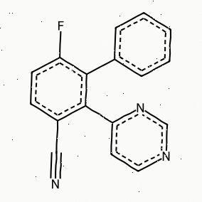 N#Cc1ccc(F)c(-c2ccccc2)c1-c1ccncn1